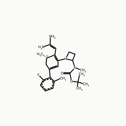 Cc1cccc(F)c1C1=CC(N2CCC2N(C)C(=O)OC(C)(C)C)=C(C=C(N)N)[C@@H](C)C1